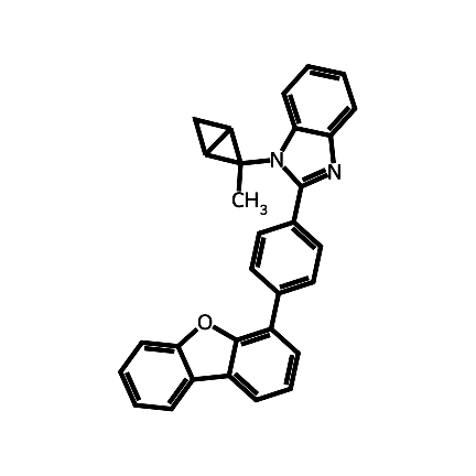 CC1(n2c(-c3ccc(-c4cccc5c4oc4ccccc45)cc3)nc3ccccc32)C2CC21